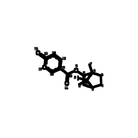 CC1(I)C2CCC1(C)C(OC(=O)c1ccc(=O)oc1)C2